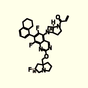 C=CC(=O)N1CCC2[C@H]1CN2c1c(F)c(-c2cccc3c2CCCC3)c(F)c2nc(OCC34CCCN3C[C@H](F)C4)ncc12